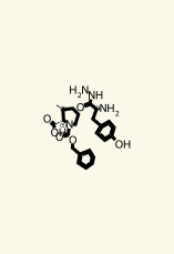 C[C@@H]1CCCN(C(=O)OCc2ccccc2)[C@@H]1C(=O)O.NNC(=O)[C@H](N)Cc1ccc(O)cc1